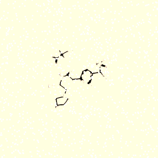 CC(C)[C@@H](CN1CCC(O)C1)N(C)C(=O)Cc1ccc(C(N)S(C)(=O)=O)cc1.O=C(O)C(F)(F)F